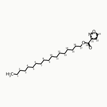 CCCCCCCCCCCCCCCCCCOC(=O)c1ccon1